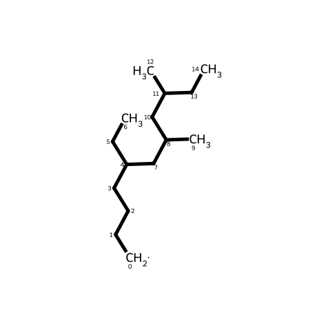 [CH2]CCCC(CC)CC(C)CC(C)CC